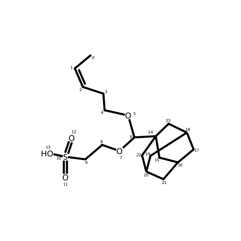 C/C=C\CCOC(OCCS(=O)(=O)O)C12CC3CC(CC(C3)C1)C2